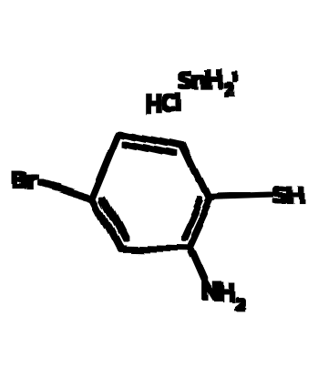 Cl.Nc1cc(Br)ccc1S.[SnH2]